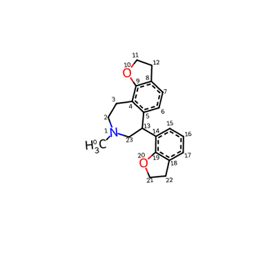 CN1CCc2c(ccc3c2OCC3)C(c2cccc3c2OCC3)C1